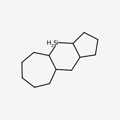 C1CCC2CC3CCCC3[SiH2]C2CC1